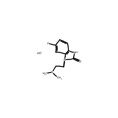 CN(C)CCn1c(=O)[nH]c2ccc(F)cc21.Cl